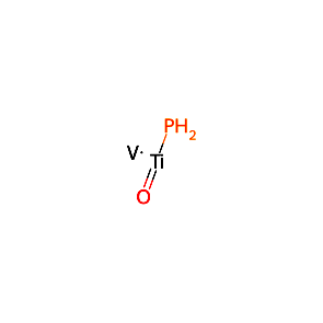 [O]=[Ti][PH2].[V]